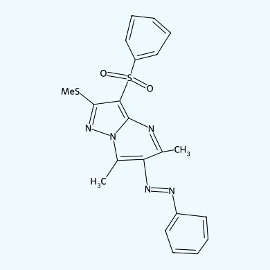 CSc1nn2c(C)c(/N=N/c3ccccc3)c(C)nc2c1S(=O)(=O)c1ccccc1